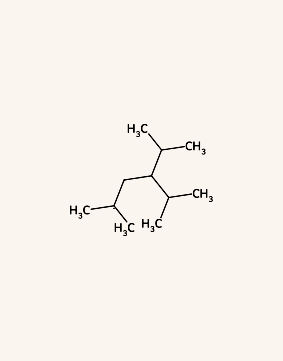 C[C](C)CC(C(C)C)C(C)C